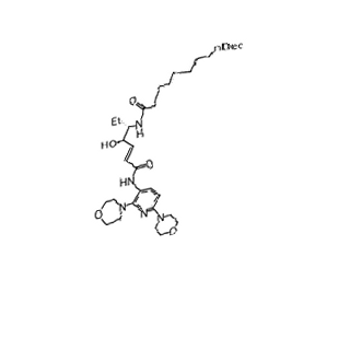 CCCCCCCCCCCCCCCCCC(=O)N[C@@H](CC)[C@H](O)/C=C/C(=O)Nc1ccc(N2CCOCC2)nc1N1CCOCC1